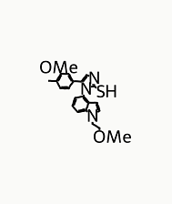 COCCn1ccc2c(-n3c(-c4ccc(C)cc4OC)cnc3S)cccc21